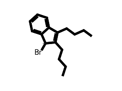 CCCCC1=C(CCCC)c2ccccc2[C]1Br